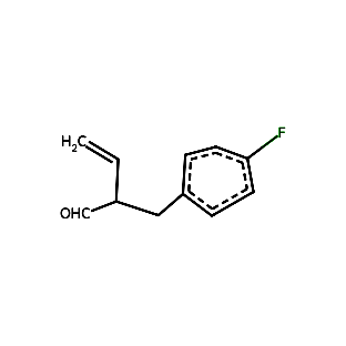 C=CC(C=O)Cc1ccc(F)cc1